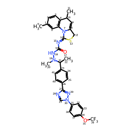 Cc1ccc2c(c1)N1C(=CC2C)CS/C1=N\C(=O)NN(C)C(C)c1ccc(-c2ncn(-c3ccc(OC(F)(F)F)cc3)n2)cc1